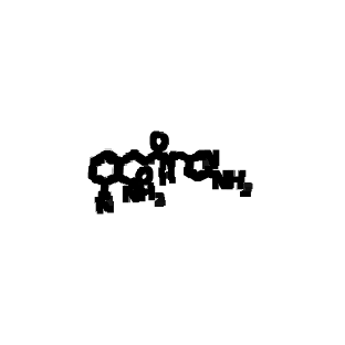 N#Cc1cccc(C[CH]C(=O)NCc2ccc(N)nc2)c1C(N)=O